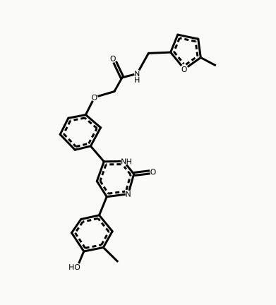 Cc1ccc(CNC(=O)COc2cccc(-c3cc(-c4ccc(O)c(C)c4)nc(=O)[nH]3)c2)o1